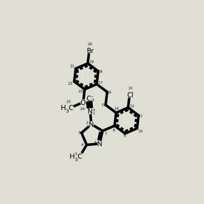 [C-]#[N+]N1CC(C)N=C1c1cccc(Cl)c1CCc1cc(Br)ccc1OC